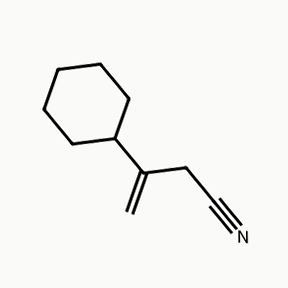 C=C(CC#N)C1CCCCC1